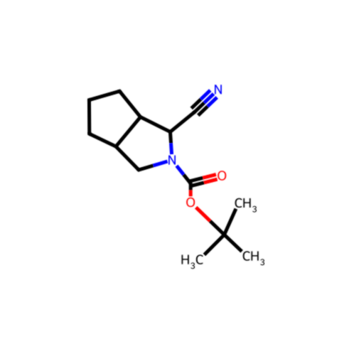 CC(C)(C)OC(=O)N1CC2CCCC2C1C#N